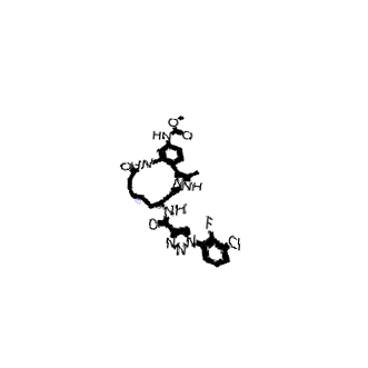 COC(=O)Nc1ccc2c(c1)NC(=O)CC/C=C/C[C@H](NC(=O)c1cn(-c3cccc(Cl)c3F)nn1)c1nc-2c(C)[nH]1